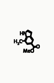 COC(=O)c1cc(C)c2[nH]ccc2c1